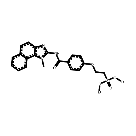 CCOP(=O)(CCOc1ccc(C(=O)Nc2nc3ccc4ccccc4c3n2C)cc1)OCC